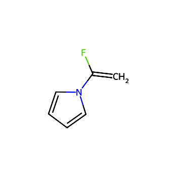 C=C(F)n1cccc1